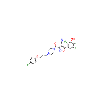 N#Cc1c(C(=O)N2CCN(CCCOc3ccc(F)cc3)CC2)noc1-c1cc(F)c(F)c(O)c1F